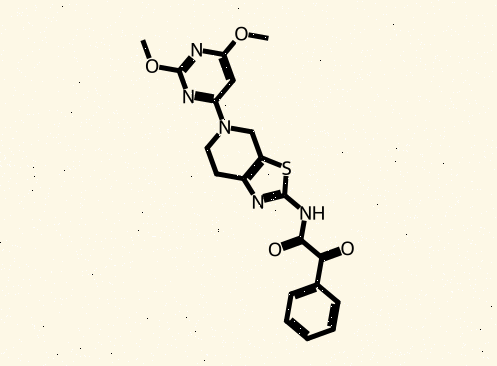 COc1cc(N2CCc3nc(NC(=O)C(=O)c4ccccc4)sc3C2)nc(OC)n1